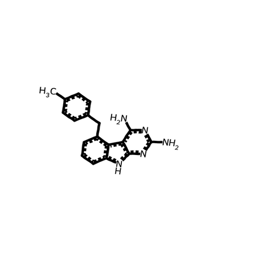 Cc1ccc(Cc2cccc3[nH]c4nc(N)nc(N)c4c23)cc1